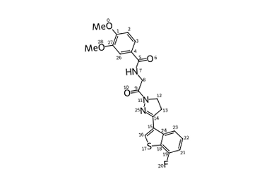 COc1ccc(C(=O)NCC(=O)N2CCC(c3csc4c(F)cccc34)=N2)cc1OC